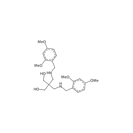 COc1ccc(CNCC(CO)(CO)CNCc2ccc(OC)cc2OC)c(OC)c1